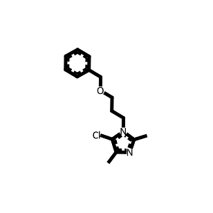 Cc1nc(C)n(CCCOCc2ccccc2)c1Cl